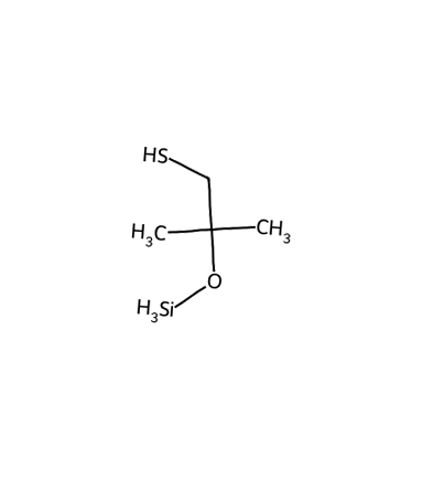 CC(C)(CS)O[SiH3]